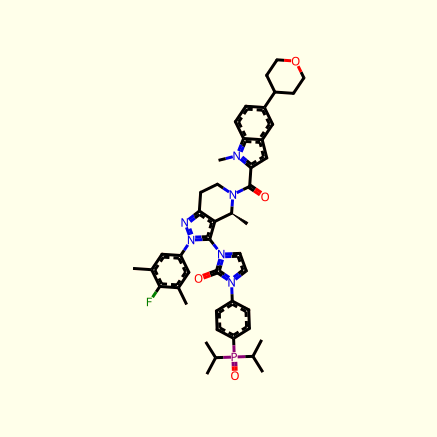 Cc1cc(-n2nc3c(c2-n2ccn(-c4ccc(P(=O)(C(C)C)C(C)C)cc4)c2=O)[C@H](C)N(C(=O)c2cc4cc(C5CCOCC5)ccc4n2C)CC3)cc(C)c1F